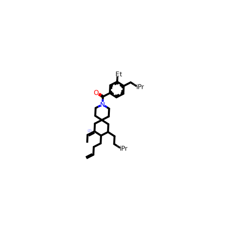 C=CCCC1/C(=C\C)CC2(CCN(C(=O)c3ccc(CC(C)C)c(CC)c3)CC2)CC1CCC(C)C